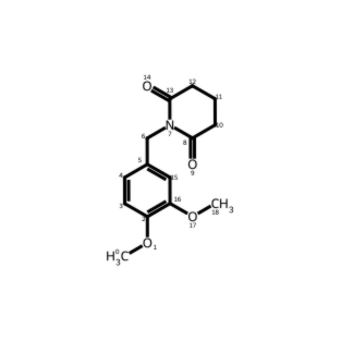 COc1ccc(CN2C(=O)CCCC2=O)cc1OC